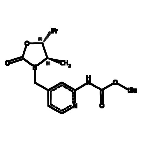 CC(C)[C@H]1OC(=O)N(Cc2ccnc(NC(=O)OC(C)(C)C)c2)[C@@H]1C